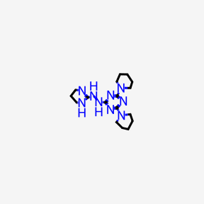 C1CCN(c2nc(NNC3=NCCCN3)nc(N3CCCCC3)n2)CC1